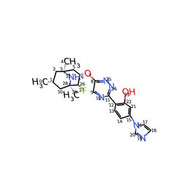 C[C@@H]1C[C@@]2(C)C[C@H](Oc3cnc(-c4ccc(-n5ccnc5)cc4O)nn3)[C@@H](F)[C@@](C)(C1)N2